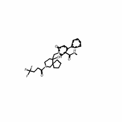 CNC(=O)c1cn(CC2(O)CCN(C(=O)CCC(F)(F)F)CC23CCCC3)c(=O)cc1-c1ccccc1